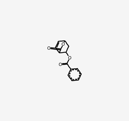 O=C(OC1CC2C=CC1C(=O)O2)c1ccccc1